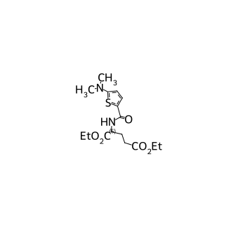 CCOC(=O)CC[C@H](NC(=O)c1ccc(N(C)C)s1)C(=O)OCC